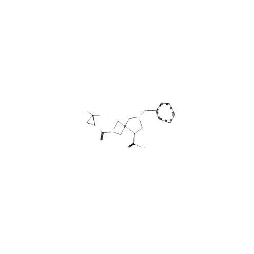 CC1(C)C[C@@H]1C(=O)N1CC2(CN(Cc3ccccc3)CC2C(=O)O)C1